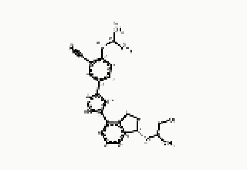 CC(CO)N[C@H]1CCc2c(-c3noc(-c4ccc(OC(C)C)c(C#N)c4)n3)cccc21